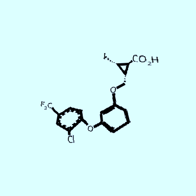 O=C(O)[C@@H]1[C@@H](I)[C@H]1COC1=CC(Oc2ccc(C(F)(F)F)cc2Cl)=CCC1